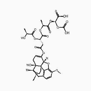 COc1ccc2c3c1O[C@H]1C(OC(=O)C[C@H](OC(=O)[C@H](C)O)C(=O)O[C@@H](C)C(=O)O[C@H](OC(=O)O)C(=O)O)=CC[C@@]4(O)[C@@H](C2)N(C)CC[C@]314